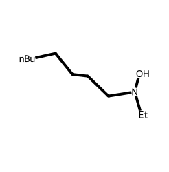 CCCCCCCCN(O)CC